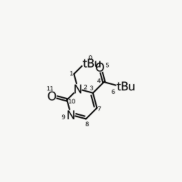 CC(C)(C)Cn1c(C(=O)C(C)(C)C)ccnc1=O